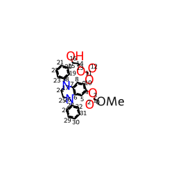 COC(=O)Oc1cc2c(cc1OC(=O)OCCO)N(c1ccccc1)CCN2c1ccccc1